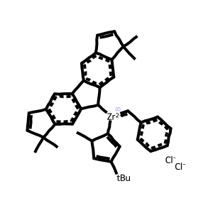 CC1C=C(C(C)(C)C)C=[C]1/[Zr+2](=[CH]\c1ccccc1)[CH]1c2cc3c(cc2-c2cc4c(cc21)C(C)(C)C=C4)C=CC3(C)C.[Cl-].[Cl-]